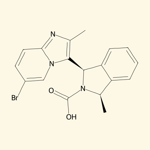 Cc1nc2ccc(Br)cn2c1[C@H]1c2ccccc2[C@@H](C)N1C(=O)O